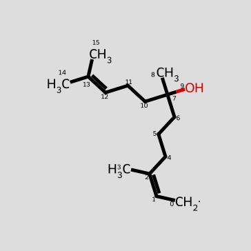 [CH2]C=C(C)CCCC(C)(O)CCC=C(C)C